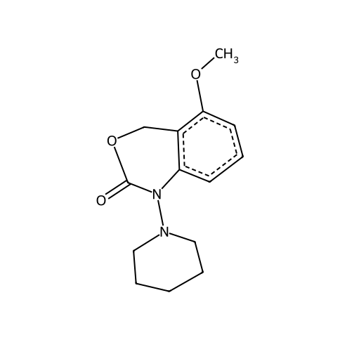 COc1cccc2c1COC(=O)N2N1CCCCC1